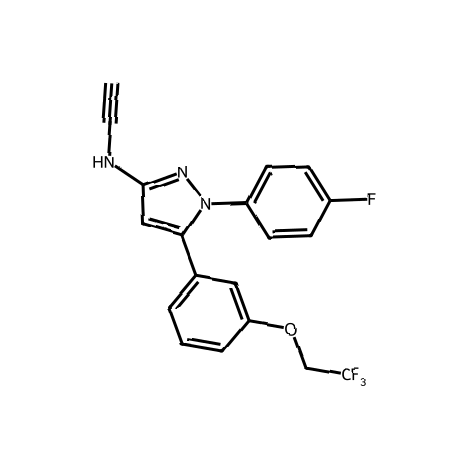 C#CNc1cc(-c2cccc(OCC(F)(F)F)c2)n(-c2ccc(F)cc2)n1